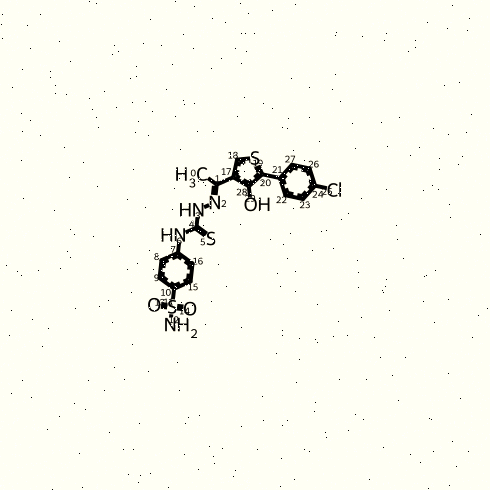 C/C(=N\NC(=S)Nc1ccc(S(N)(=O)=O)cc1)c1csc(-c2ccc(Cl)cc2)c1O